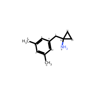 Cc1cc(C)cc(CC2(N)CC2)c1